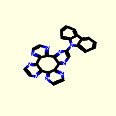 c1ccc2c(c1)c1ccccc1n2-c1cnc2c(n1)-c1nccnc1-c1nccnc1-c1nccnc1-2